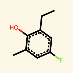 CCc1cc(F)cc(C)c1O